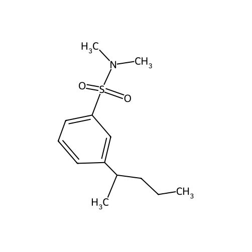 CCCC(C)c1cccc(S(=O)(=O)N(C)C)c1